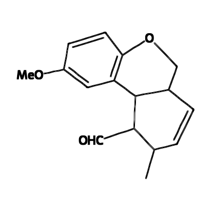 COc1ccc2c(c1)C1C(C=CC(C)C1C=O)CO2